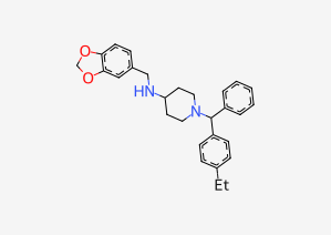 CCc1ccc(C(c2ccccc2)N2CCC(NCc3ccc4c(c3)OCO4)CC2)cc1